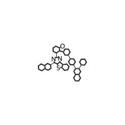 c1ccc(-c2cc3ccccc3cc2-c2ccc(-c3ccc4oc5cccc(-c6nc(-c7ccc8ccccc8c7)c7sc8ccccc8c7n6)c5c4c3)cc2)cc1